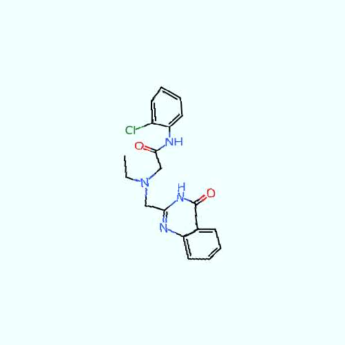 CCN(CC(=O)Nc1ccccc1Cl)Cc1nc2ccccc2c(=O)[nH]1